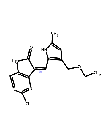 CCOCc1cc(C)[nH]c1/C=C1\C(=O)Nc2cnc(Cl)nc21